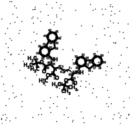 COC(=O)C(SSC[C@H](Nc1cccc2c1Cc1ccccc1-2)C(=O)OC(C)(C)C)[C@H](Nc1cccc2c1Cc1ccccc1-2)C(=O)OC(C)(C)C